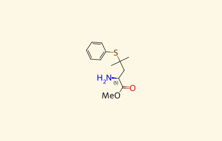 COC(=O)[C@@H](N)CC(C)(C)Sc1ccccc1